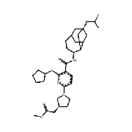 COC(=O)C[C@@H]1CCN(c2ccc(C(=O)NC3CCC4CC5C[C@@](OC(F)F)(C4)CC53)c(SC3CCCC3)n2)C1